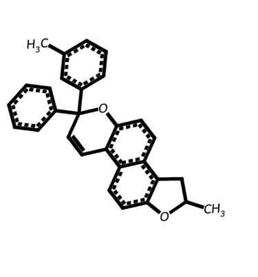 Cc1cccc(C2(c3ccccc3)C=Cc3c(ccc4c5c(ccc34)OC(C)C5)O2)c1